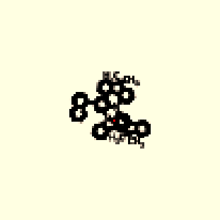 CC1(C)c2ccccc2-c2cc(N(c3ccc(-c4cccc5ccccc45)cc3-n3c4ccccc4c4ccccc43)c3cccc4c3-c3ccccc3C4(C)C)ccc21